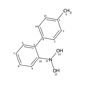 Cc1ccc(-c2ccccc2N(O)O)cc1